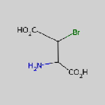 NC(C(=O)O)C(Br)C(=O)O